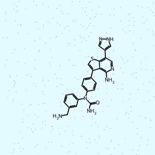 NCc1cccc(N(C(N)=O)c2ccc(-c3csc4c(-c5cn[nH]c5)cnc(N)c34)cc2)c1